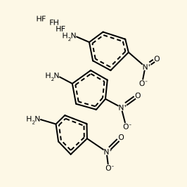 F.F.F.Nc1ccc([N+](=O)[O-])cc1.Nc1ccc([N+](=O)[O-])cc1.Nc1ccc([N+](=O)[O-])cc1